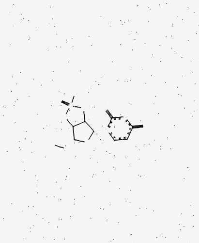 O=c1ccn([C@@H]2O[C@H](CO)C3OP(=O)(O)OC32)c(=O)[nH]1